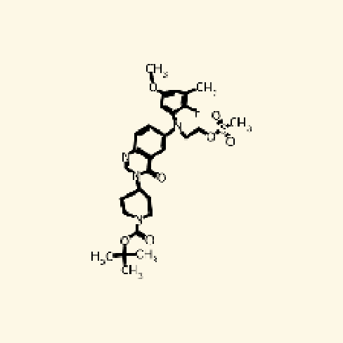 COc1cc(C)c(F)c(N(CCOS(C)(=O)=O)c2ccc3ncn(C4CCN(C(=O)OC(C)(C)C)CC4)c(=O)c3c2)c1